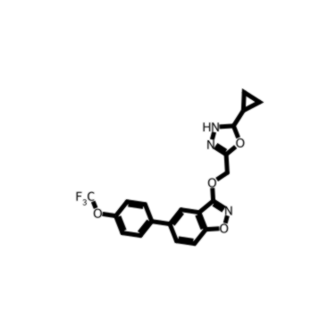 FC(F)(F)Oc1ccc(-c2ccc3onc(OCC4=NNC(C5CC5)O4)c3c2)cc1